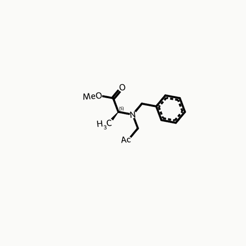 COC(=O)[C@H](C)N(CC(C)=O)Cc1ccccc1